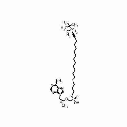 C[C@H](Cn1cnc2c(N)ncnc21)OCP(=O)(O)OCCCSCCCCCCCCCCCC#CS(C)(C)C(C)(C)C